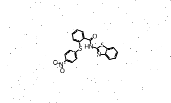 O=C(Nc1nc2ccccc2s1)c1ccccc1Sc1ccc([N+](=O)[O-])cc1